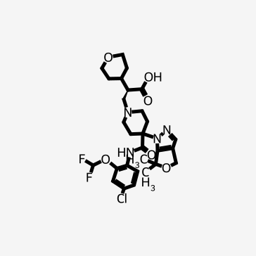 CC1(C)OCc2cnn(C3(C(=O)Nc4ccc(Cl)cc4OC(F)F)CCN(C[C@H](C(=O)O)C4CCOCC4)CC3)c21